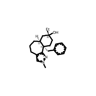 CC[C@@]1(O)CC[C@@]2(Cc3ccccc3)c3nn(C)cc3CCC[C@H]2C1